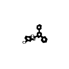 Clc1ccc2oc(-c3cc(-c4ccccc4)cc(-c4ccccc4)c3)nc2c1